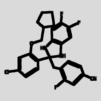 N#Cc1ccc(CC2(c3ccc(Cl)cc3OCC3CCCC3)Nc3cc(F)c(F)cc3N2)c(F)c1